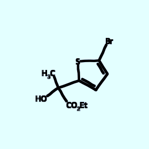 CCOC(=O)C(C)(O)c1ccc(Br)s1